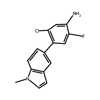 Cn1ccc2cc(-c3cc(F)c(N)cc3Cl)ccc21